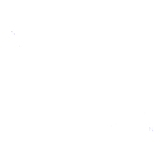 NC(=O)C(Cl)CCCCCCC(Cl)C(N)=O